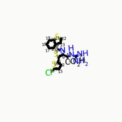 N=C(N)NC(C(=O)O)c1ncsc1-c1ccc(Cl)s1.c1ccc2sccc2c1